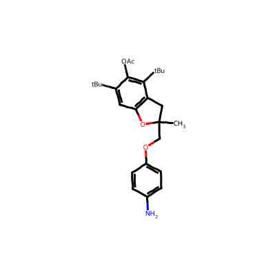 CC(=O)Oc1c(C(C)(C)C)cc2c(c1C(C)(C)C)CC(C)(COc1ccc(N)cc1)O2